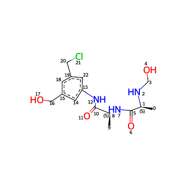 C[C@H](NCO)C(=O)N[C@@H](C)C(=O)Nc1cc(CO)cc(CCl)c1